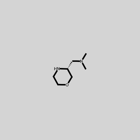 CN(C)C[C@@H]1COCCN1